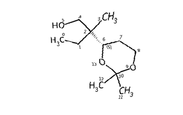 CCC(C)(CO)[C@@H]1CCOC(C)(C)O1